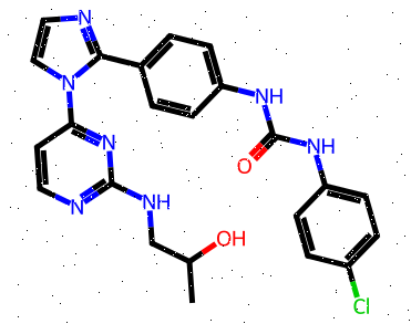 CC(O)CNc1nccc(-n2ccnc2-c2ccc(NC(=O)Nc3ccc(Cl)cc3)cc2)n1